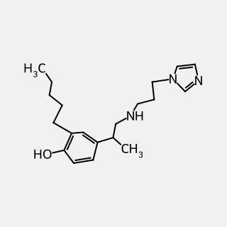 CCCCCc1cc(C(C)CNCCCn2ccnc2)ccc1O